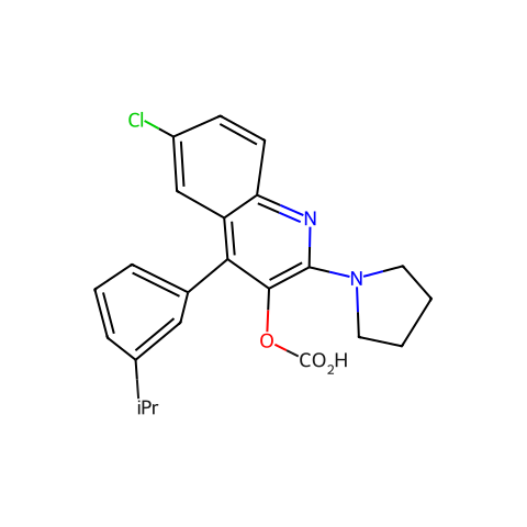 CC(C)c1cccc(-c2c(OC(=O)O)c(N3CCCC3)nc3ccc(Cl)cc23)c1